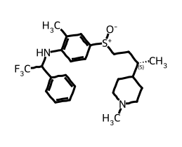 Cc1cc([S+]([O-])CC[C@H](C)C2CCN(C)CC2)ccc1NC(c1ccccc1)C(F)(F)F